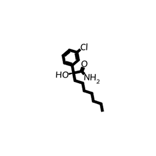 CCCCCCC[C@@](O)(C(N)=O)c1cccc(Cl)c1